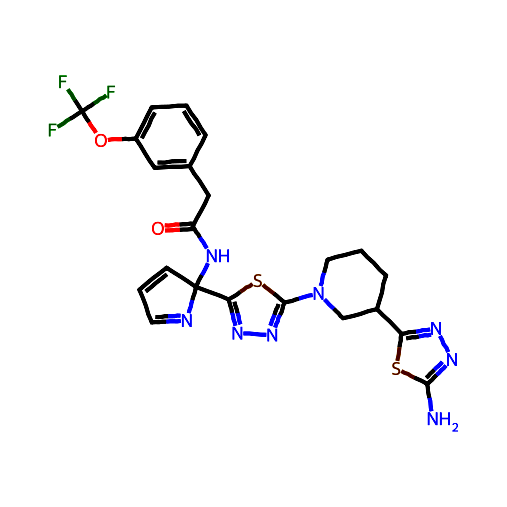 Nc1nnc(C2CCCN(c3nnc(C4(NC(=O)Cc5cccc(OC(F)(F)F)c5)C=CC=N4)s3)C2)s1